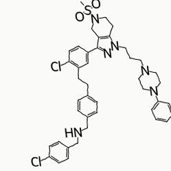 CS(=O)(=O)N1CCc2c(c(-c3ccc(Cl)c(CCc4ccc(CNCc5ccc(Cl)cc5)cc4)c3)nn2CCCN2CCN(c3ccccc3)CC2)C1